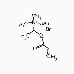 C=CC(=O)OC(C)[N+](C)(C)CCCC.[Br-]